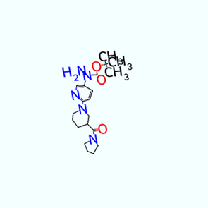 CC(C)(C)OC(=O)N(N)c1ccc(N2CCCC(C(=O)N3CCCC3)C2)nc1